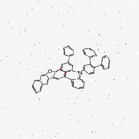 c1ccc(-c2cccc(N(c3ccc(-c4ccccc4)c(-c4ccccc4)c3)c3ccccc3-c3ccc4oc5cc6ccccc6cc5c4c3)c2)cc1